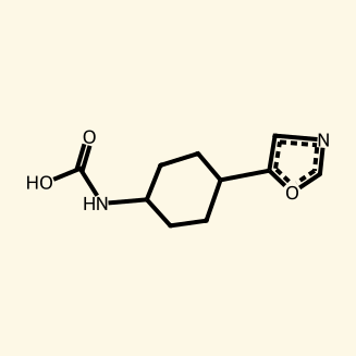 O=C(O)NC1CCC(c2cnco2)CC1